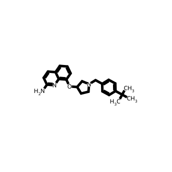 CC(C)(C)c1ccc(CN2CCC(Oc3cccc4ccc(N)nc34)C2)cc1